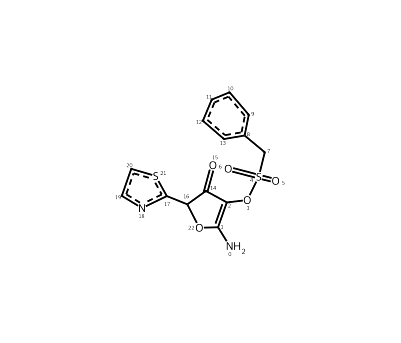 NC1=C(OS(=O)(=O)Cc2ccccc2)C(=O)C(c2nccs2)O1